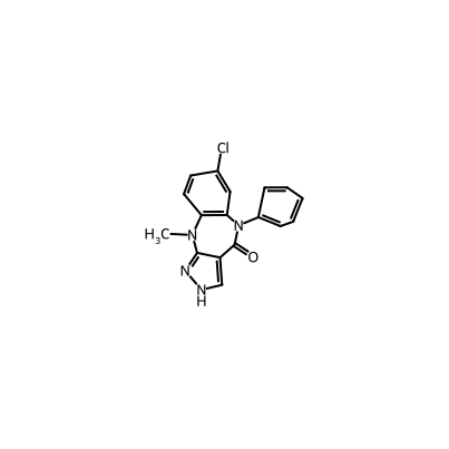 CN1c2ccc(Cl)cc2N(c2ccccc2)C(=O)c2c[nH]nc21